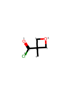 CC1(C(=O)Cl)COC1